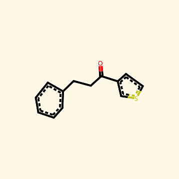 O=C(CCc1ccccc1)c1ccsc1